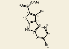 COC(=O)c1sc2[nH]c3cc(Br)cnc3c2c1F